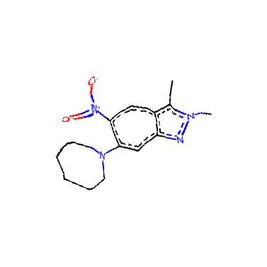 Cc1c2cc([N+](=O)[O-])c(N3CCCCC3)cc2nn1C